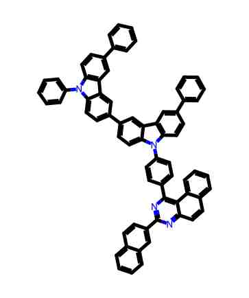 c1ccc(-c2ccc3c(c2)c2cc(-c4ccc5c(c4)c4cc(-c6ccccc6)ccc4n5-c4ccc(-c5nc(-c6ccc7ccccc7c6)nc6ccc7ccccc7c56)cc4)ccc2n3-c2ccccc2)cc1